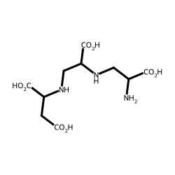 NC(CNC(CNC(CC(=O)O)C(=O)O)C(=O)O)C(=O)O